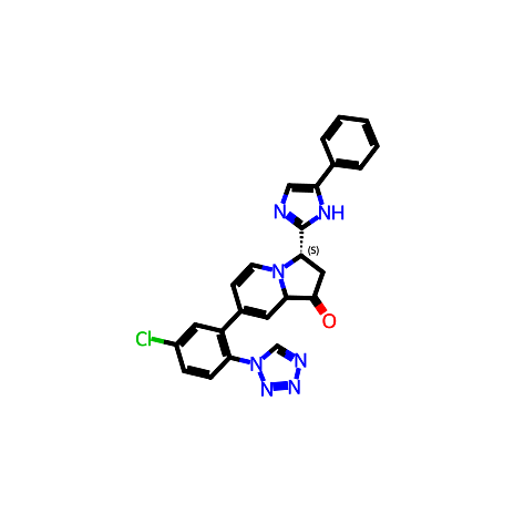 O=C1C[C@@H](c2ncc(-c3ccccc3)[nH]2)N2C=CC(c3cc(Cl)ccc3-n3cnnn3)=CC12